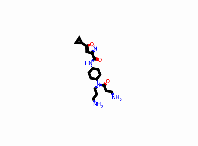 NCCCN(C(=O)CCN)[C@H]1CC[C@H](NC(=O)c2cc(C3CC3)on2)CC1